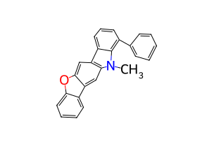 Cn1c2cc3c(cc2c2cccc(-c4ccccc4)c21)oc1ccccc13